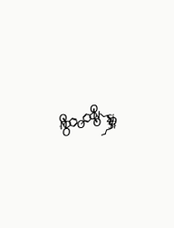 CCCC[Si](C)(C)O[Si](C)(C)CCCN1C(=O)c2ccc(Oc3ccc4c(c3)C(=O)N(C)C4=O)cc2C1=O